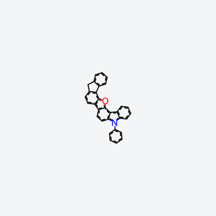 c1ccc(-n2c3ccccc3c3c4oc5c6c(ccc5c4ccc32)Cc2ccccc2-6)cc1